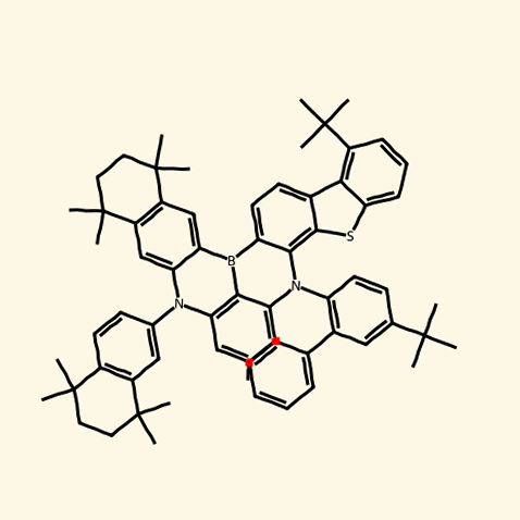 Cc1cc2c3c(c1)N(c1ccc(C(C)(C)C)cc1-c1ccccc1)c1c(ccc4c1sc1cccc(C(C)(C)C)c14)B3c1cc3c(cc1N2c1ccc2c(c1)C(C)(C)CCC2(C)C)C(C)(C)CCC3(C)C